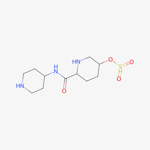 O=C(NC1CCNCC1)C1CCC(O[SH](=O)=O)CN1